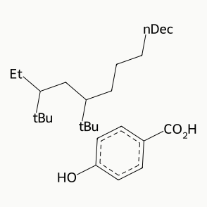 CCCCCCCCCCCCCC(CC(CC)C(C)(C)C)C(C)(C)C.O=C(O)c1ccc(O)cc1